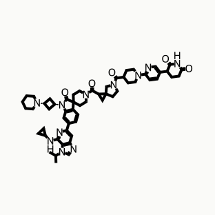 CC(C)n1cnc2cc(-c3ccc4c(c3)N([C@H]3C[C@@H](N5CCCCC5)C3)C(=O)C43CCN(C(=O)C4CC45CCN(C(=O)C4CCN(c6ccc(C7CCC(=O)NC7=O)cn6)CC4)C5)CC3)nc(NC3CC3)c21